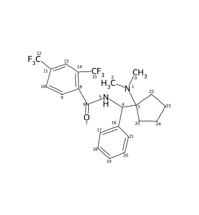 CN(C)C1(C(NC(=O)c2ccc(C(F)(F)F)cc2C(F)(F)F)c2ccccc2)CCCC1